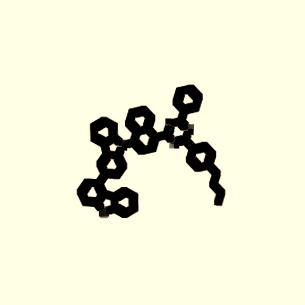 CCCCc1ccc(-c2nc(-c3ccccc3)nc(-c3ccc(-n4c5ccccc5c5cc(-c6cccc7oc8ccccc8c67)ccc54)c4ccccc34)n2)cc1